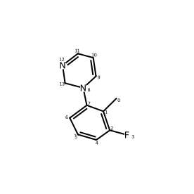 Cc1c(F)c[c]cc1N1C=CC=NC1